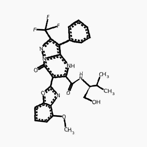 COc1cccc2oc(-c3c(C(=O)N[C@H](CO)C(C)C)[nH]c4c(-c5ccccc5)c(C(F)(F)F)nn4c3=O)nc12